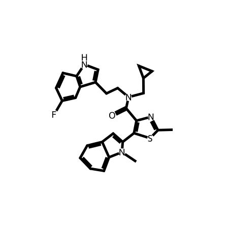 Cc1nc(C(=O)N(CCc2c[nH]c3ccc(F)cc23)CC2CC2)c(-c2cc3ccccc3n2C)s1